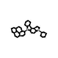 c1ccc(-n2ccc3c4c5ccccc5n(-c5ccc6ccc7cccc8ccc5c6c78)c4ccc32)cc1